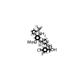 CCC(C)(O)c1cc(F)c(Cl)cc1Nc1ncnc(Nc2cc(N)c(N3CCC[C@@H]3CN(C)C)cc2OC)n1